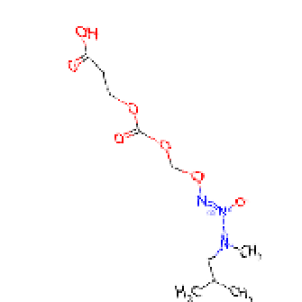 CC(C)CN(C)/[N+]([O-])=N/OCOC(=O)OCCC(=O)O